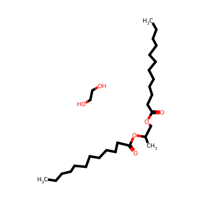 CCCCCCCCCCCC(=O)OCC(C)OC(=O)CCCCCCCCCCC.OCCO